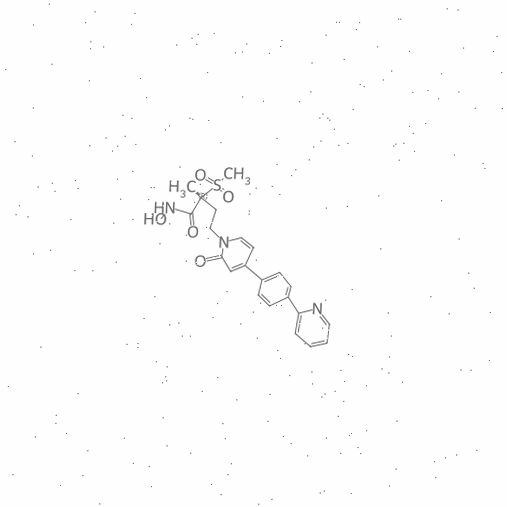 C[C@@](CCn1ccc(-c2ccc(-c3ccccn3)cc2)cc1=O)(C(=O)NO)S(C)(=O)=O